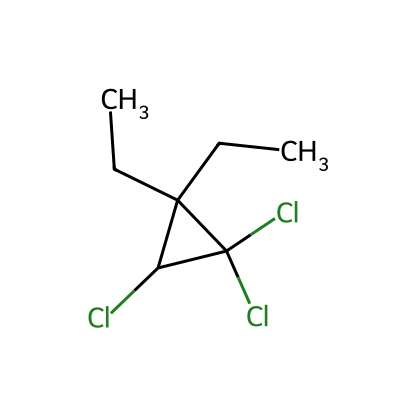 CCC1(CC)C(Cl)C1(Cl)Cl